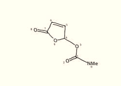 CNC(=O)OC1C=CC(=O)O1